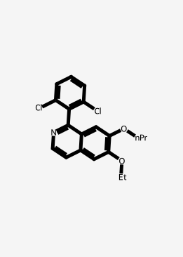 CCCOc1cc2c(-c3c(Cl)cccc3Cl)nccc2cc1OCC